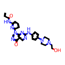 C=CC(=O)Nc1cccc(-n2cnc(=O)c3cnc(Nc4ccc(N5CCN(CCO)CC5)cc4)nc32)n1